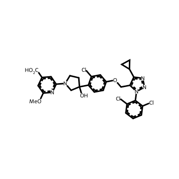 COc1cc(C(=O)O)cc(N2CCC(O)(c3ccc(OCc4c(C5CC5)nnn4-c4c(Cl)cccc4Cl)cc3Cl)C2)n1